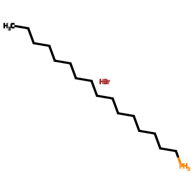 Br.CCCCCCCCCCCCCCCCP